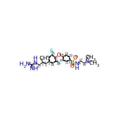 C/C(=C\c1cc(F)c(Oc2ccc(S(=O)(=O)NCCN(C)C)cc2)c(F)c1)CNC(=N)N